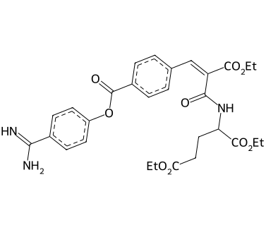 CCOC(=O)CCC(NC(=O)C(=Cc1ccc(C(=O)Oc2ccc(C(=N)N)cc2)cc1)C(=O)OCC)C(=O)OCC